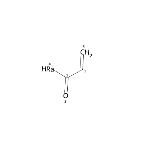 C=C[C](=O)[RaH]